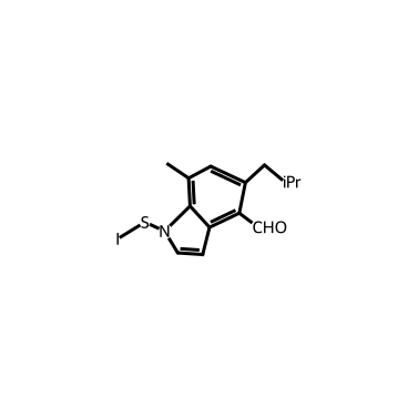 Cc1cc(CC(C)C)c(C=O)c2ccn(SI)c12